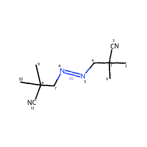 CC(C)(C#N)C/N=N/CC(C)(C)C#N